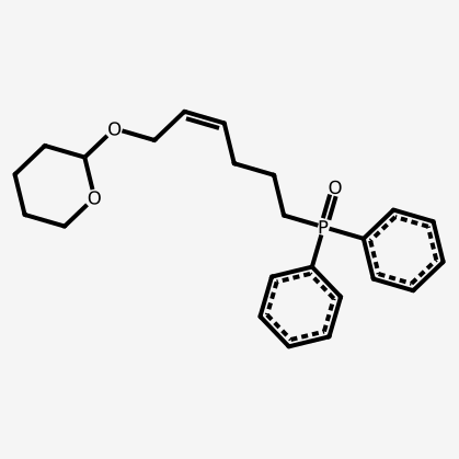 O=P(CCC/C=C\COC1CCCCO1)(c1ccccc1)c1ccccc1